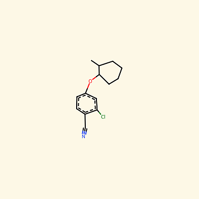 CC1CCCCC1Oc1ccc(C#N)c(Cl)c1